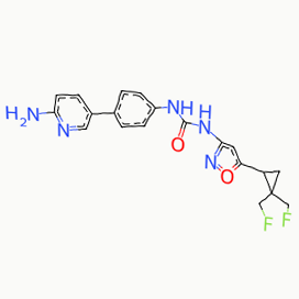 Nc1ccc(-c2ccc(NC(=O)Nc3cc(C4CC4(CF)CF)on3)cc2)cn1